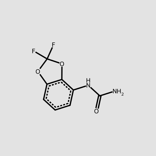 NC(=O)Nc1cccc2c1OC(F)(F)O2